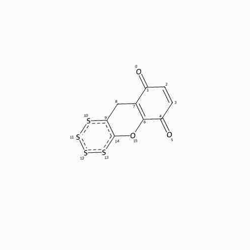 O=C1C=CC(=O)C2=C1Cc1ssssc1O2